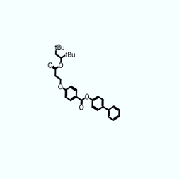 CC(C)(C)CC(OC(=O)CCOc1ccc(C(=O)Oc2ccc(-c3ccccc3)cc2)cc1)C(C)(C)C